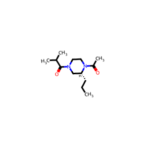 CCC[C@@H]1CN(C(=O)C(C)C)CCN1C(C)=O